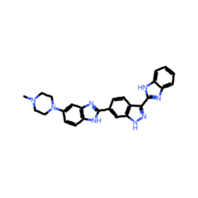 CN1CCN(c2ccc3[nH]c(-c4ccc5c(-c6nc7ccccc7[nH]6)n[nH]c5c4)nc3c2)CC1